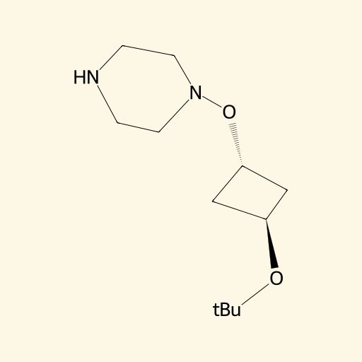 CC(C)(C)O[C@H]1C[C@H](ON2CCNCC2)C1